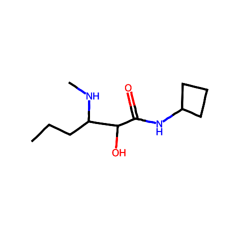 CCCC(NC)C(O)C(=O)NC1CCC1